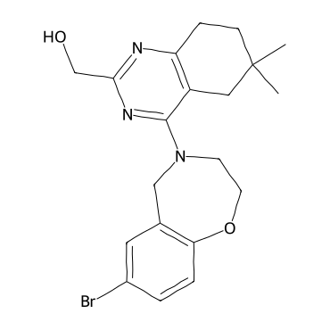 CC1(C)CCc2nc(CO)nc(N3CCOc4ccc(Br)cc4C3)c2C1